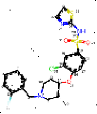 C[C@@H]1CN(Cc2ccccc2F)CC[C@H]1Oc1ccc(S(=O)(=O)Nc2nccs2)cc1Cl